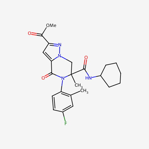 COC(=O)c1cc2n(n1)CC(C)(C(=O)NC1CCCCC1)N(c1ccc(F)cc1C)C2=O